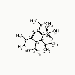 CC(C)C1=CC(C(C)C)=C(S(=O)(=O)O)C(C(C)C)C1[N+](=O)[O-]